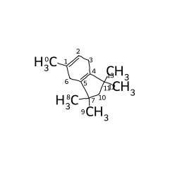 CC1=CCC2=C(C1)C(C)(C)CC2(C)C